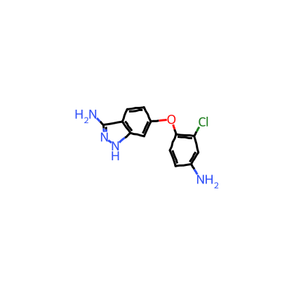 Nc1ccc(Oc2ccc3c(N)n[nH]c3c2)c(Cl)c1